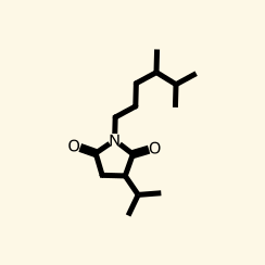 CC(C)C(C)CCCN1C(=O)CC(C(C)C)C1=O